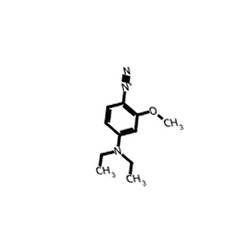 CCN(CC)c1ccc([N+]#N)c(OC)c1